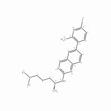 CCN(CC)CCC[C@H](C)Nc1ncc2cc(-c3ccc(F)nc3C)ccc2n1